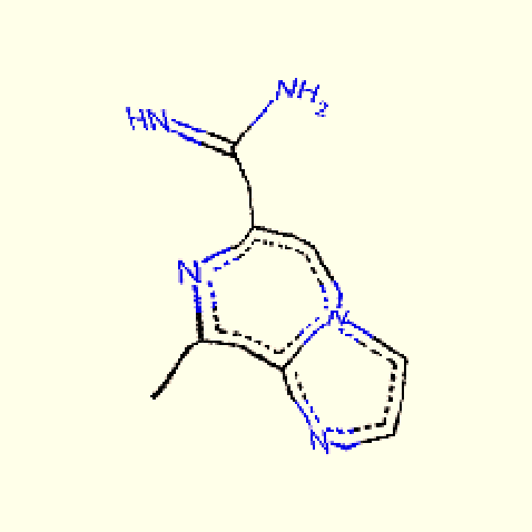 Cc1nc(C(=N)N)cn2ccnc12